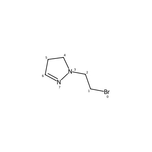 BrCCN1CCC=N1